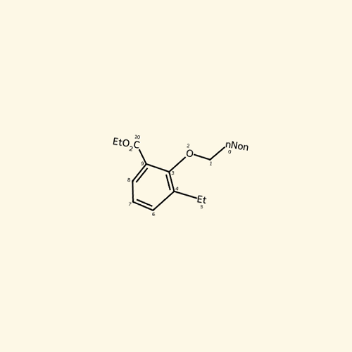 CCCCCCCCCCOc1c(CC)cccc1C(=O)OCC